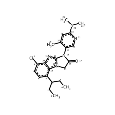 CCC(CC)c1ccc(Cl)c2nc3n(c12)CC(=O)N3c1cnc(N(C)C)cc1C